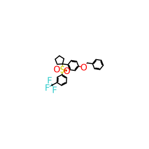 O=S(=O)(c1cccc(C(F)(F)F)c1)C1(c2ccc(OCc3ccccc3)cc2)CCCC1